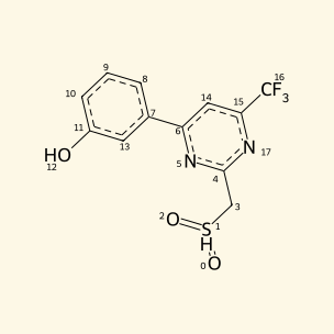 O=[SH](=O)Cc1nc(-c2cccc(O)c2)cc(C(F)(F)F)n1